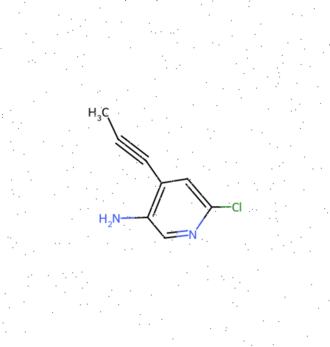 CC#Cc1cc(Cl)ncc1N